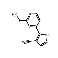 CSc1nccc(-c2[nH]ncc2C#N)n1